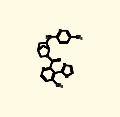 Cc1ccnc(C(=O)N2CC3CC(Nc4ccc(C(F)(F)F)cn4)C2C3)c1-c1ncco1